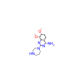 COc1ccc2c(N)nc(N3CCCNCC3)nc2c1OC